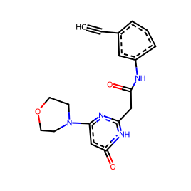 C#Cc1cccc(NC(=O)Cc2nc(N3CCOCC3)cc(=O)[nH]2)c1